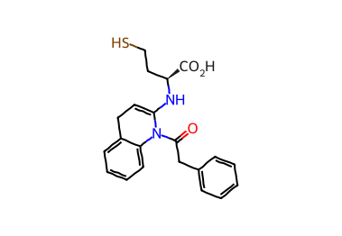 O=C(O)[C@H](CCS)NC1=CCc2ccccc2N1C(=O)Cc1ccccc1